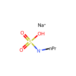 CCC[N-]S(=O)(=O)O.[Na+]